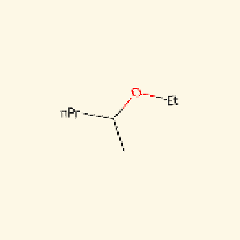 [CH2]CCC(C)OCC